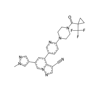 Cn1cc(-c2cc(-c3ccc(N4CCN(C(=O)C5(C(F)(F)F)CC5)CC4)nc3)c3c(C#N)cnn3c2)cn1